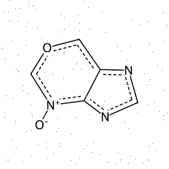 [O-][n+]1cocc2ncnc1-2